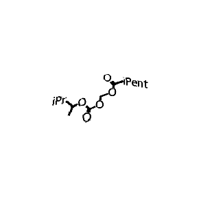 CCCC(C)C(=O)OCOC(=O)OC(C)C(C)C